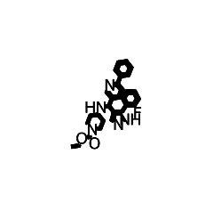 CCOC(=O)N1CCC(NC(c2ccc(-c3ccccc3)nc2)c2cn[nH]c2-c2ccccc2F)CC1